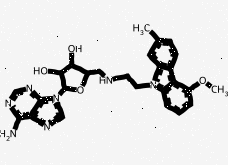 COc1cccc2c1c1ccc(C)cc1n2CCNCC1OC(n2cnc3c(N)ncnc32)C(O)C1O